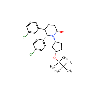 CC(C)(C)[Si](C)(C)O[C@H]1CC[C@H](N2C(=O)CCC(c3cccc(Cl)c3)[C@H]2c2ccc(Cl)cc2)C1